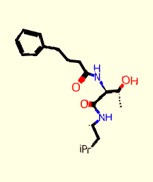 CC(C)C[CH]NC(=O)[C@@H](NC(=O)CCCc1ccccc1)[C@@H](C)O